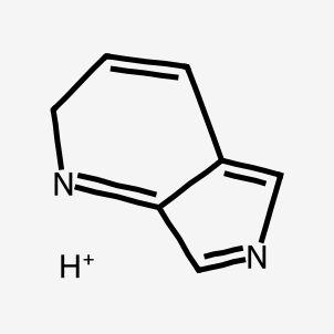 C1=CC2=CN=CC2=NC1.[H+]